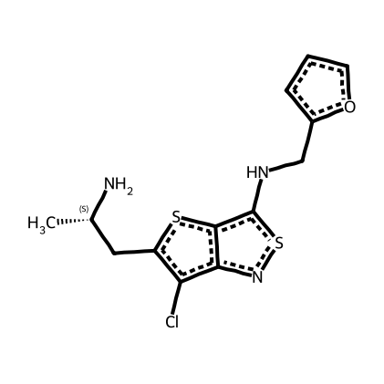 C[C@H](N)Cc1sc2c(NCc3ccco3)snc2c1Cl